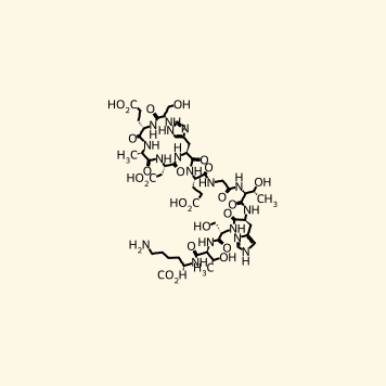 C[C@H](NC(=O)[C@H](CCC(=O)O)NC(=O)[C@@H](N)CO)C(=O)N[C@@H](CC(=O)O)C(=O)N[C@@H](Cc1c[nH]cn1)C(=O)N[C@@H](CCC(=O)O)C(=O)NCC(=O)N[C@H](C(=O)N[C@@H](Cc1c[nH]cn1)C(=O)N[C@@H](CO)C(=O)N[C@H](C(=O)N[C@@H](CCCCN)C(=O)O)[C@@H](C)O)[C@@H](C)O